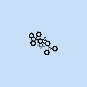 CC12C=C(N(c3ccccc3)c3ccccc3)C=CC1Sc1cc(C3(c4ccccc4)c4ccccc4-c4ccccc43)ccc12